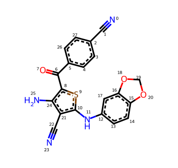 N#Cc1ccc(C(=O)c2sc(Nc3ccc4c(c3)OCO4)c(C#N)c2N)cc1